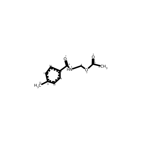 CC(=O)OCNC(=O)c1ccc(C)cc1